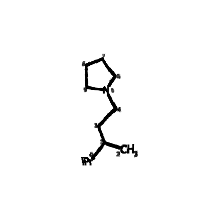 CC(C)C(C)CCN1CCCC1